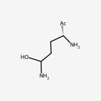 CC(=O)[C@H](N)CCC(N)O